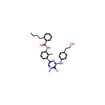 CCCCc1ccccc1C(=O)Nc1cccc(-c2cn(C)c(=O)c(Nc3ccc(CCO)cc3)n2)c1C